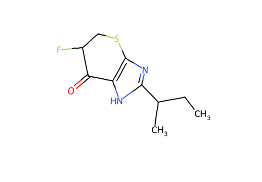 CCC(C)c1nc2c([nH]1)C(=O)C(F)CS2